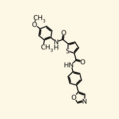 COc1ccc(NC(=O)c2ccc(C(=O)Nc3ccc(-c4cnco4)cc3)s2)c(C)c1